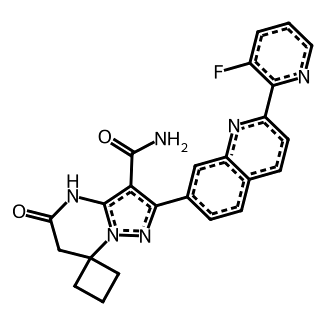 NC(=O)c1c(-c2ccc3ccc(-c4ncccc4F)nc3c2)nn2c1NC(=O)CC21CCC1